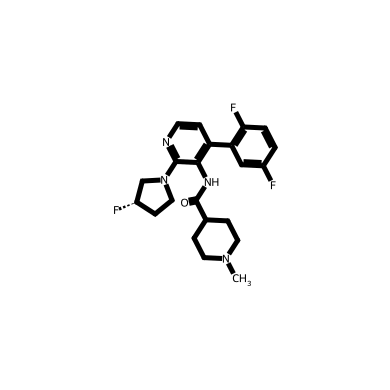 CN1CCC(C(=O)Nc2c(-c3cc(F)ccc3F)ccnc2N2CC[C@H](F)C2)CC1